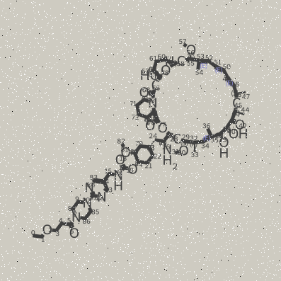 CCOCCC(=O)N1CCN(c2ncc(CNC(=O)O[C@@H]3CC[C@@H](C[C@@H](N)[C@@H]4C[C@@H](OC)[C@H](C)/C=C(\C)[C@@H](O)[C@@H](O)C(=O)[C@H](C)C[C@H](C)/C=C/C=C/C=C(\C)[C@@H](OC)C[C@@H]5CC[C@@H](C)[C@](O)(CC(=O)N6CCCC[C@H]6C(=O)O4)O5)C[C@H]3OC)cn2)CC1